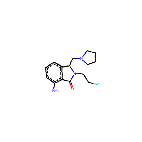 Nc1cccc2c1C(=O)N(CCF)C2CN1CCCC1